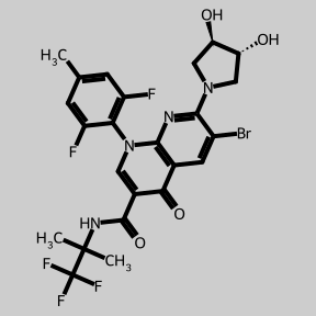 Cc1cc(F)c(-n2cc(C(=O)NC(C)(C)C(F)(F)F)c(=O)c3cc(Br)c(N4C[C@@H](O)[C@H](O)C4)nc32)c(F)c1